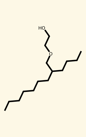 CCCCCCCC(CCCC)COCCO